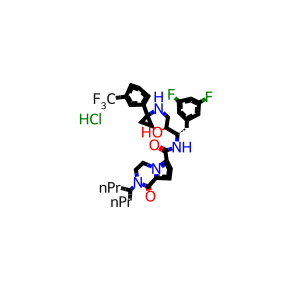 CCCC(CCC)N1CCn2c(C(=O)N[C@@H](Cc3cc(F)cc(F)c3)[C@H](O)CNC3(c4cccc(C(F)(F)F)c4)CC3)ccc2C1=O.Cl